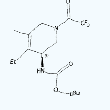 CCC1=C(C)CN(C(=O)C(F)(F)F)C[C@H]1NC(=O)OC(C)(C)C